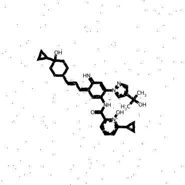 CC(C)(O)c1cnn(C2=CC(=N)/C(=C\C=C\C3CCC(O)(C4CC4)CC3)C=C2NC(=O)c2cccc(C3CC3)[n+]2O)c1